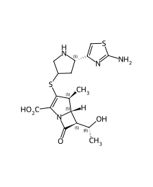 C[C@@H]1C(SC2CN[C@H](c3csc(N)n3)C2)=C(C(=O)O)N2C(=O)[C@H]([C@@H](C)O)[C@@H]12